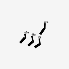 C=CCC.C=CCCCC.C=CCCCC.C=CCCCC